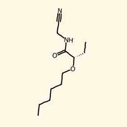 CCCCCCO[C@@H](CC)C(=O)NCC#N